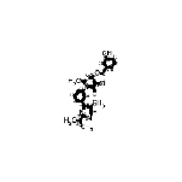 Cc1cccc(COc2nc(C)n(-c3cccc(-c4nc(C(C)C)ncc4C)c3)c(=O)c2Cl)c1